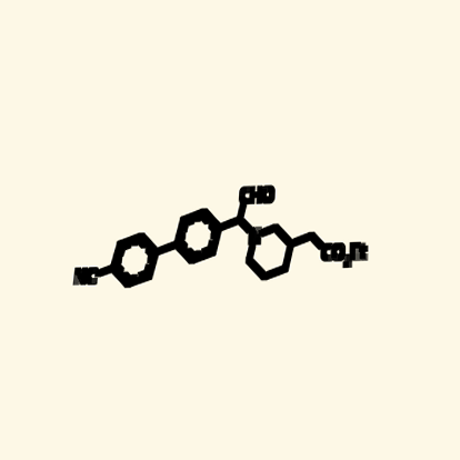 CCOC(=O)CC1CCCN(C(C=O)c2ccc(-c3ccc(C#N)cc3)cc2)C1